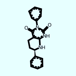 O=c1[nH]c2c(c(=O)n1-c1ccccc1)CC[C@H](c1ccccc1)N2